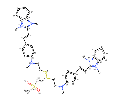 CN(CCSSCCN(C)c1ccc(C=Cc2n(C)c3ccccc3[n+]2C)cc1)c1ccc(C=Cc2n(C)c3ccccc3[n+]2C)cc1.COS(=O)(=O)OC